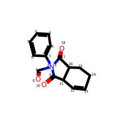 O=C[N+]1(c2ccccc2)C(=O)C2C=CCCC2C1=O